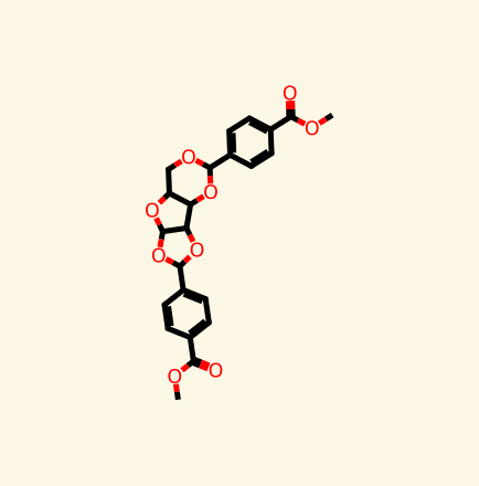 COC(=O)c1ccc(C2OCC3OC4OC(c5ccc(C(=O)OC)cc5)OC4C3O2)cc1